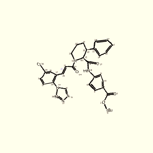 CC(C)(C)OC(=O)c1ccc(NC(=O)[C@@H]2[C@H](c3ccccc3)CCCN2C(=O)/C=C/c2cc(Cl)ccc2-n2cnnn2)cc1